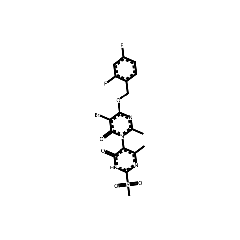 Cc1nc(S(C)(=O)=O)[nH]c(=O)c1-n1c(C)nc(OCc2ccc(F)cc2F)c(Br)c1=O